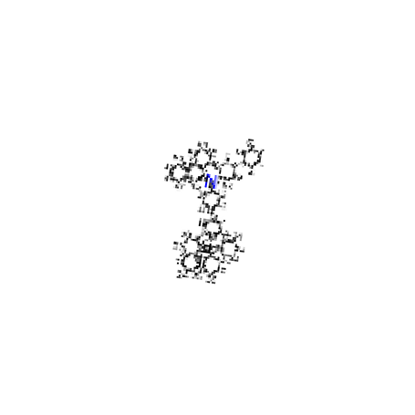 c1ccc(-c2ccc(N(c3ccc(-c4ccc5c(c4)-c4ccc6ccccc6c4[Si]5(c4ccccc4)c4ccccc4)cc3)c3cc4ccccc4c4ccccc34)cc2)cc1